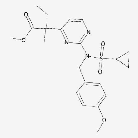 CCC(C)(C(=O)OC)c1ccnc(N(Cc2ccc(OC)cc2)S(=O)(=O)C2CC2)n1